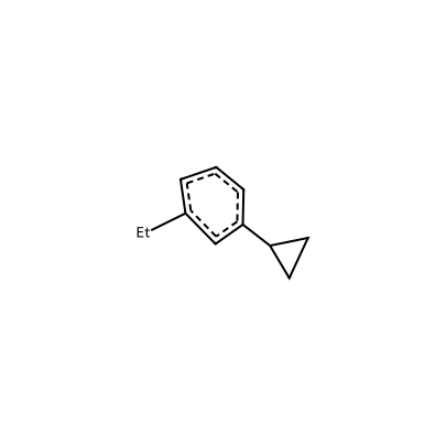 [CH2]Cc1cccc(C2CC2)c1